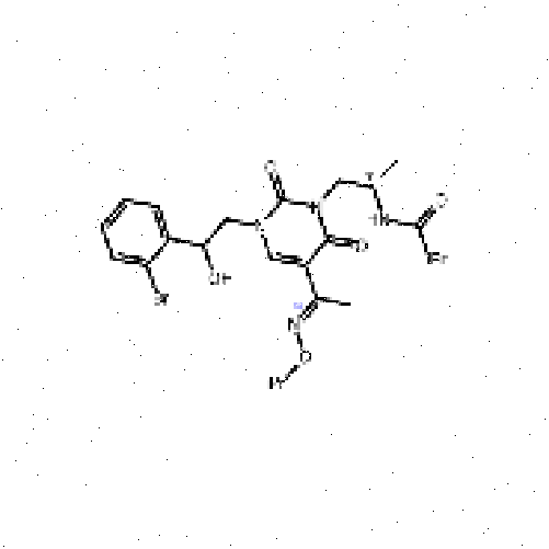 C/C(=N\OC(C)C)c1cn(CC(O)c2ccccc2Br)c(=O)n(C[C@H](C)NC(=O)C(C)C)c1=O